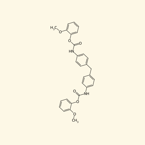 COc1ccccc1OC(=O)Nc1ccc(Cc2ccc(NC(=O)Oc3ccccc3OC)cc2)cc1